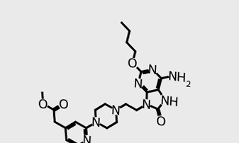 CCCCOc1nc(N)c2[nH]c(=O)n(CCN3CCN(c4cc(CC(=O)OC)ccn4)CC3)c2n1